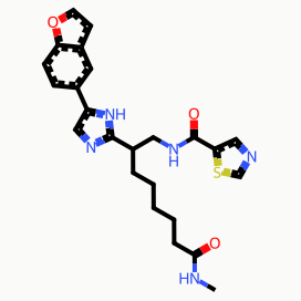 CNC(=O)CCCCCC(CNC(=O)c1cncs1)c1ncc(-c2ccc3occc3c2)[nH]1